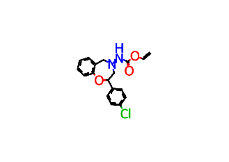 C=COC(=O)NN1Cc2ccccc2OC(c2ccc(Cl)cc2)C1